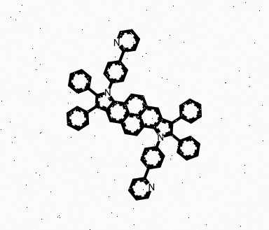 c1ccc(-c2c(-c3ccccc3)n(-c3ccc(-c4ccccn4)cc3)c3c2cc2ccc4c5c(ccc3c25)cc2c(-c3ccccc3)c(-c3ccccc3)n(-c3ccc(-c5ccccn5)cc3)c24)cc1